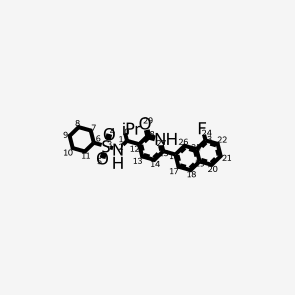 CC(C)C(NS(=O)(=O)C1CCCCC1)c1ccc(-c2ccc3cccc(F)c3c2)[nH]c1=O